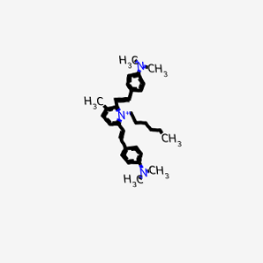 CCCCCC[n+]1c(/C=C/c2ccc(N(C)C)cc2)ccc(C)c1/C=C/c1ccc(N(C)C)cc1